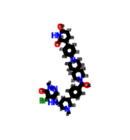 CN1C[C@H](Nc2cnn(C)c(=O)c2Br)C[C@H](c2ccc(C(=O)N3CCC4(CC3)CCN(c3ccc([C@@H]5CCC(=O)NC5=O)cc3)CC4)cc2)C1